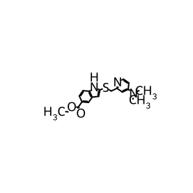 CCOC(=O)c1ccc2[nH]c(SCc3cc(N(C)C)ccn3)cc2c1